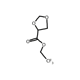 O=C(OCC(F)(F)F)C1COCO1